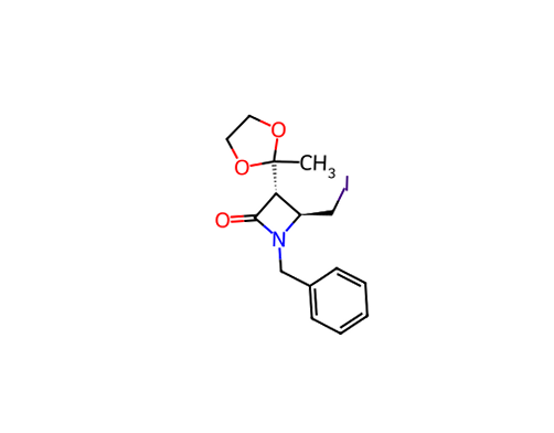 CC1([C@H]2C(=O)N(Cc3ccccc3)[C@@H]2CI)OCCO1